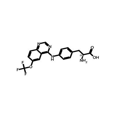 N[C@@H](Cc1ccc(Nc2ncnc3ccc(OC(F)(F)F)cc23)cc1)C(=O)O